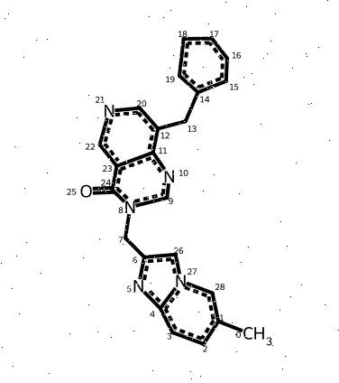 Cc1ccc2nc(Cn3cnc4c(Cc5ccccc5)cncc4c3=O)cn2c1